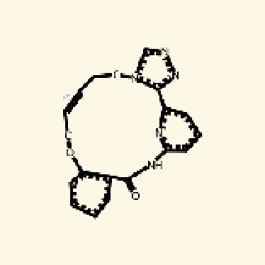 O=C1Nc2cccc(n2)-c2nncn2CC/C=C\COc2ccccc21